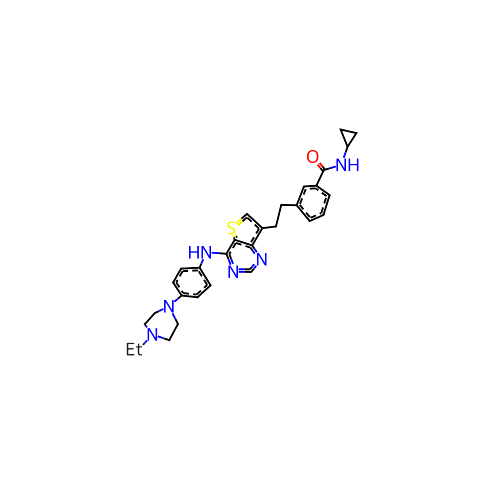 CCN1CCN(c2ccc(Nc3ncnc4c(CCc5cccc(C(=O)NC6CC6)c5)csc34)cc2)CC1